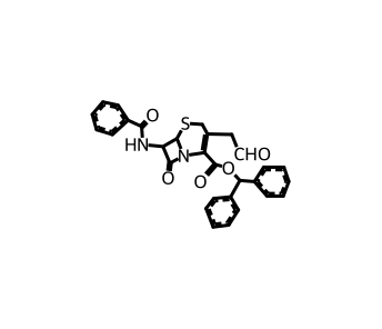 O=CCC1=C(C(=O)OC(c2ccccc2)c2ccccc2)N2C(=O)C(NC(=O)c3ccccc3)C2SC1